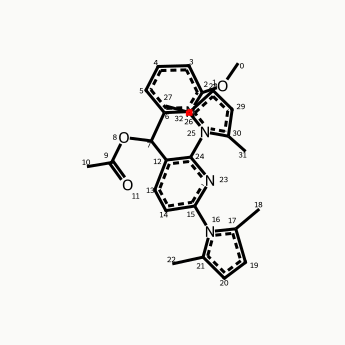 COc1cccc(C(OC(C)=O)c2ccc(-n3c(C)ccc3C)nc2-n2c(C)ccc2C)n1